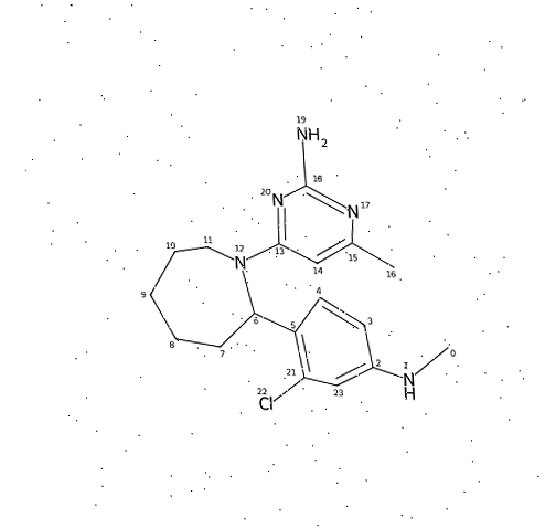 CNc1ccc(C2CCCCCN2c2cc(C)nc(N)n2)c(Cl)c1